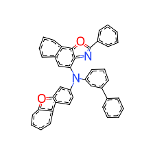 c1ccc(-c2cccc(N(c3ccc4c(c3)oc3ccccc34)c3cc4ccccc4c4oc(-c5ccccc5)nc34)c2)cc1